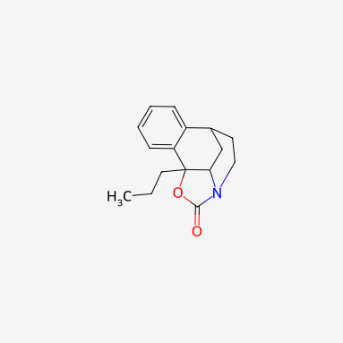 CCCC12OC(=O)N3CCC(CC31)c1ccccc12